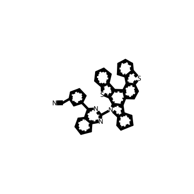 N#Cc1cccc(-c2nc(-n3c4ccccc4c4c5ccc6sc7ccccc7c6c5c5c6ccccc6sc5c43)nc3ccccc23)c1